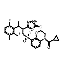 Cc1ccc(F)c(C(C)C(NS(=O)(=O)c2cccc3c2OCCN3C(=O)C2CC2)c2n[nH]c(=O)o2)c1C